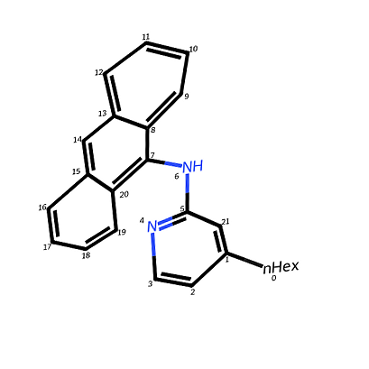 CCCCCCc1ccnc(Nc2c3ccccc3cc3ccccc23)c1